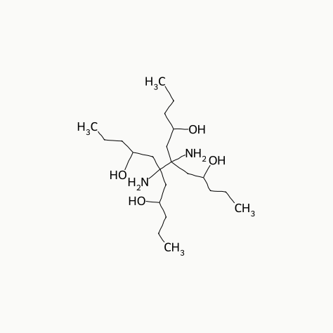 CCCC(O)CC(N)(CC(O)CCC)C(N)(CC(O)CCC)CC(O)CCC